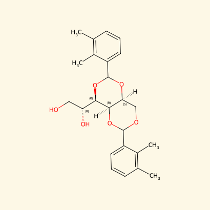 Cc1cccc(C2OC[C@@H]3OC(c4cccc(C)c4C)O[C@H]([C@H](O)CO)[C@@H]3O2)c1C